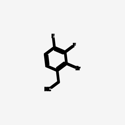 N#CCc1ccc(F)c(F)c1Br